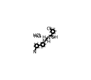 Cl.Cl.N#Cc1cccc(-c2cccc(NCCNC[C@H](O)c3cccc(Cl)c3)c2)c1